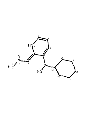 CN/C=C1\NC=CC=C1C(O)C1CCCCC1